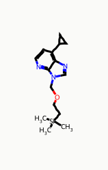 C[Si](C)(C)CCOCn1cnc2c(C3CC3)ccnc21